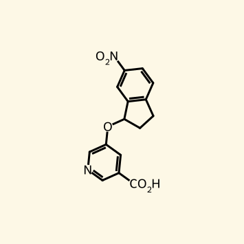 O=C(O)c1cncc(OC2CCc3ccc([N+](=O)[O-])cc32)c1